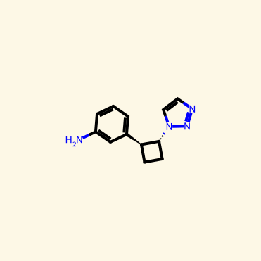 Nc1cccc([C@@H]2CC[C@H]2n2ccnn2)c1